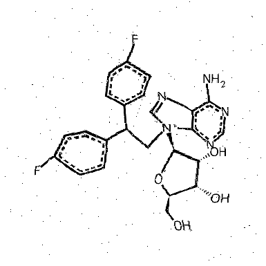 Nc1ncnc2c1N=C[N+]2(CC(c1ccc(F)cc1)c1ccc(F)cc1)[C@@H]1O[C@H](CO)[C@@H](O)[C@H]1O